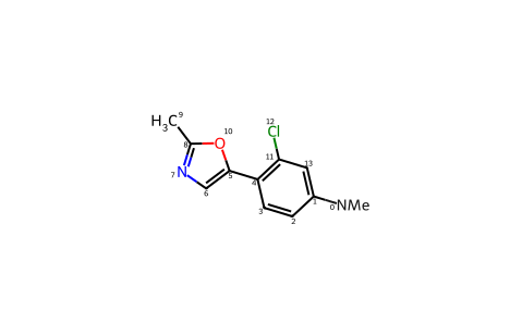 CNc1ccc(-c2cnc(C)o2)c(Cl)c1